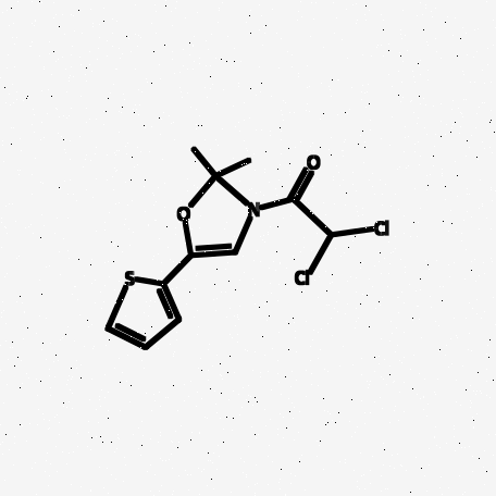 CC1(C)OC(c2cccs2)=CN1C(=O)C(Cl)Cl